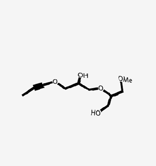 CC#COCC(O)COC(CO)COC